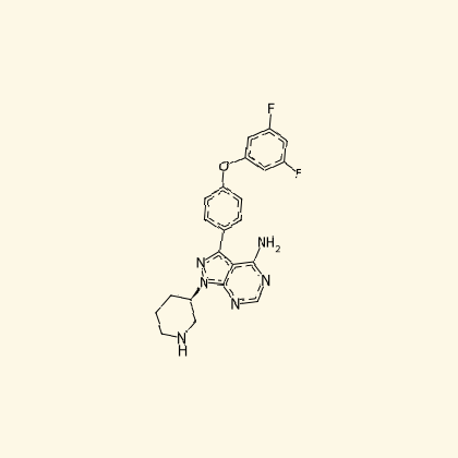 Nc1ncnc2c1c(-c1ccc(Oc3cc(F)cc(F)c3)cc1)nn2[C@@H]1CCCNC1